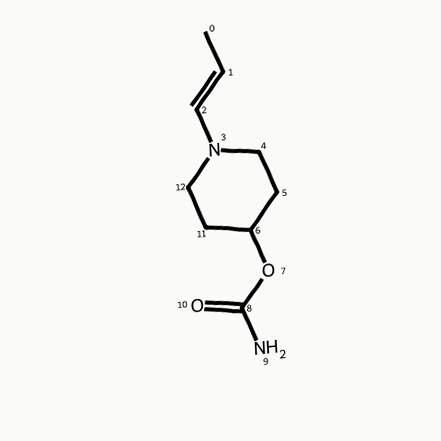 CC=CN1CCC(OC(N)=O)CC1